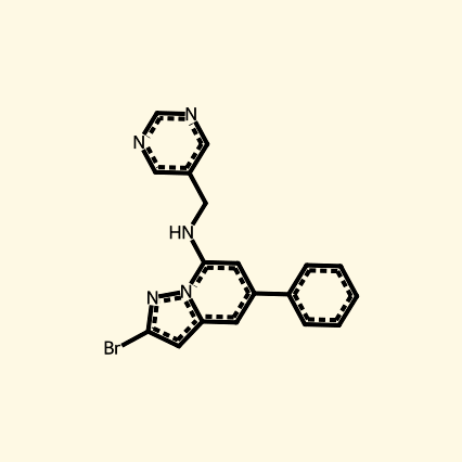 Brc1cc2cc(-c3ccccc3)cc(NCc3cncnc3)n2n1